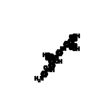 Nc1ccc(C(=O)Nc2ccc3c(O)c(N=Nc4ccc(N=Nc5ccc6cc(S(=O)(=O)O)cc(S(=O)(=O)O)c6c5)cc4)c(S(=O)(=O)O)cc3c2)cc1